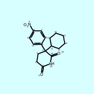 O=C1CCC(c2ccc([N+](=O)[O-])cc2)(C2CCCCC2)C(=O)N1